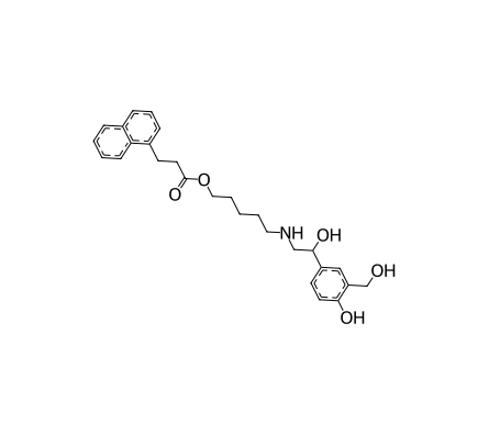 O=C(CCc1cccc2ccccc12)OCCCCCNCC(O)c1ccc(O)c(CO)c1